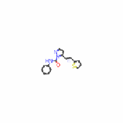 O=C(Nc1ccccc1)n1nccc1/C=C/c1cccs1